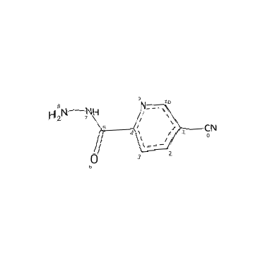 N#Cc1ccc(C(=O)NN)nc1